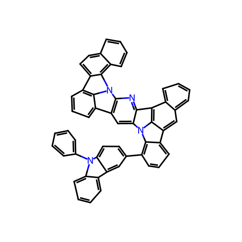 c1ccc(-n2c3ccccc3c3cc(-c4cccc5c6cc7ccccc7c7c8nc9c(cc8n(c45)c67)c4cccc5c6ccc7ccccc7c6n9c45)ccc32)cc1